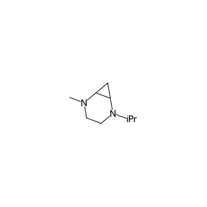 CC(C)N1CCN(C)C2CC21